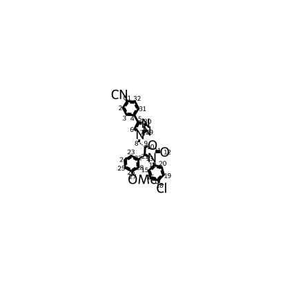 [C-]#[N+]c1ccc(-c2cn(C[C@@H]3OC(=O)N(c4ccc(Cl)cc4)[C@H]3c3cccc(OC)c3)nn2)cc1